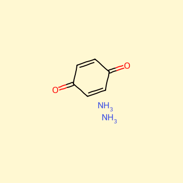 N.N.O=C1C=CC(=O)C=C1